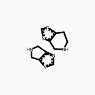 c1nc2c(s1)CNC2.c1nc2c(s1)CNCC2